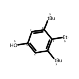 C[CH]c1c(C(C)(C)C)cc(O)cc1C(C)(C)C